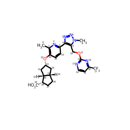 Cc1nc(-c2nnn(C)c2COc2nccc(C(F)(F)F)n2)ccc1O[C@@H]1C[C@@H]2CC[C@H](C(=O)O)[C@@H]2C1